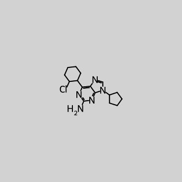 Nc1nc(C2CCCCC2Cl)c2ncn(C3CCCC3)c2n1